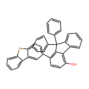 Oc1ccc(-c2ccc3sc4ccccc4c3c2)c2c1-c1ccccc1C2(c1ccccc1)c1ccccc1